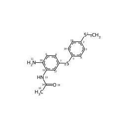 CSc1ccc(Sc2ccc(N)c(NC(C)=O)c2)cc1